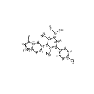 Cc1n[nH]c2ccc(C3C(C#N)=C(c4ccc(Cl)cc4)NC(C(F)F)=C3C#N)cc12